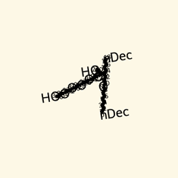 CCCCCCCCCCCCCCCCCCOCCCC(CCCCCCCCCCCCCC)C(CO)OCCOCCOCCOCCOCCO